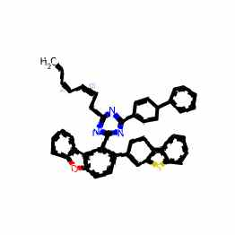 C=C/C=C\C=C/Cc1nc(C2=CCC(c3ccccc3)C=C2)nc(-c2c(C3=Cc4sc5ccccc5c4CC3)ccc3oc4ccccc4c23)n1